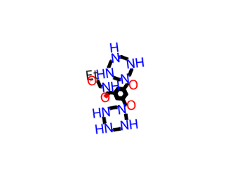 CCOCCNC(=O)c1cc(C(=O)N2CCNCCNCCNCC2)cc(C(=O)N2CCNCCNCCNCC2)c1